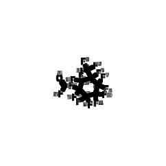 FC(F)(F)C1(F)C(F)(F)C(F)(F)C(F)(F)C(F)(F)C1(F)F.O=CF